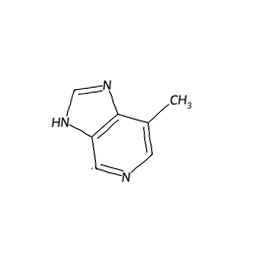 Cc1cn[c]c2[nH]cnc12